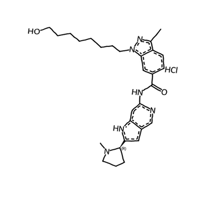 Cc1nn(CCCCCCCCO)c2cc(C(=O)Nc3cc4[nH]c([C@H]5CCCN5C)cc4cn3)ccc12.Cl